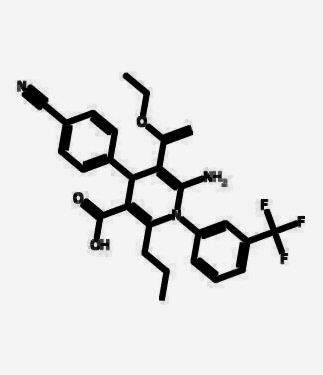 C=C(OCC)C1=C(N)N(c2cccc(C(F)(F)F)c2)C(CCC)=C(C(=O)O)C1c1ccc(C#N)cc1